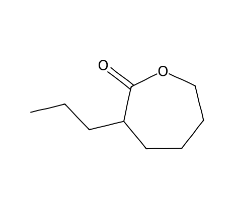 CCCC1CCCCOC1=O